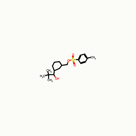 Cc1ccc(S(=O)(=O)OCC2CCCC(C(O)C(C)(C)C)C2)cc1